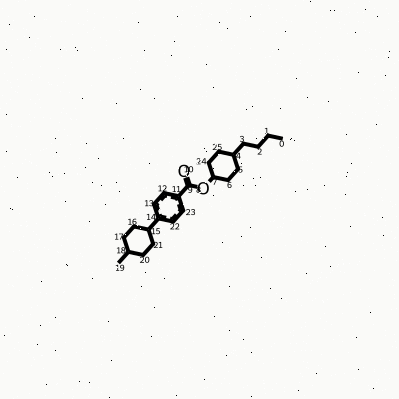 CCCCC1CCC(OC(=O)c2ccc(C3CCC(C)CC3)cc2)CC1